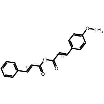 COc1ccc(/C=C/C(=O)OC(=O)/C=C/c2ccccc2)cc1